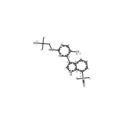 CC(C)(O)CNc1ncc(C(F)(F)F)c(-c2c[nH]c3c(P(C)(C)=O)cccc23)n1